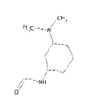 CN(C)C1CCCC(NC=O)C1